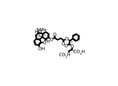 CC[C@]12c3c4ccc(O)c3O[C@H]1C(OC(=O)CCC(=O)O[C@H](C(=O)O[C@@H](CC(=O)O)C(=O)O)c1ccccc1)=CC[C@@]2(O)[C@H](NC)C4